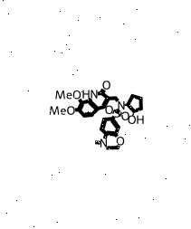 COc1ccc2cc(CN([C@H]3CCC[C@@H]3O)S(=O)(=O)c3ccc4c(c3)OCCN4C)c(=O)[nH]c2c1OC